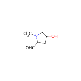 O=CC1CC(O)CN1C(Cl)(Cl)Cl